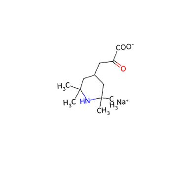 CC1(C)CC(CC(=O)C(=O)[O-])CC(C)(C)N1.[Na+]